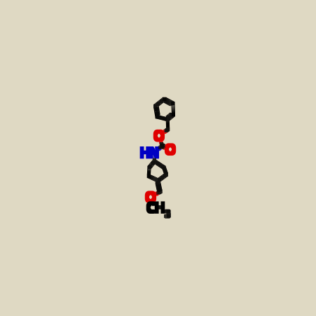 COC=C1CCC(NC(=O)OCc2ccccc2)CC1